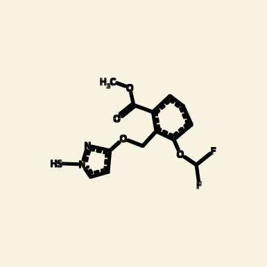 COC(=O)c1cccc(OC(F)F)c1COc1ccn(S)n1